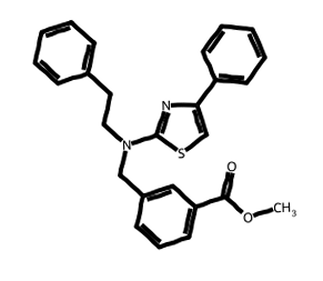 COC(=O)c1cccc(CN(CCc2ccccc2)c2nc(-c3ccccc3)cs2)c1